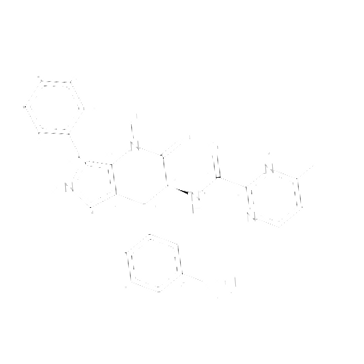 CCN1C(=O)[C@@H](NC(=O)c2nccc(C(F)(F)F)n2)[C@H](c2cccc(C(=O)O)c2)c2cnn(-c3ccccc3)c21